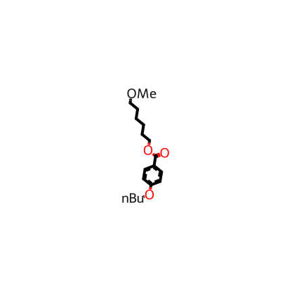 CCCCOc1ccc(C(=O)OCCCCCCOC)cc1